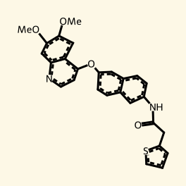 COc1cc2nccc(Oc3ccc4cc(NC(=O)Cc5cccs5)ccc4c3)c2cc1OC